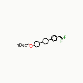 CCCCCCCCCCCOC1CCC(C2CCC(c3ccc(C=C(F)F)cc3)CC2)CC1